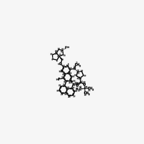 CN(c1nc(OC[C@@]23CCCN2C[C@H](F)C3)nc2c(F)c(-c3cccc4cccc(C(F)F)c34)ncc12)[C@@H]1CCN(C(=O)OC(C)(C)C)C1